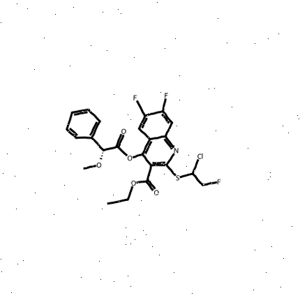 CCOC(=O)c1c(SC(Cl)CF)nc2cc(F)c(F)cc2c1OC(=O)[C@H](OC)c1ccccc1